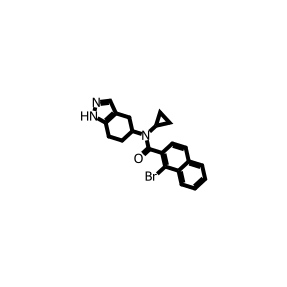 O=C(c1ccc2ccccc2c1Br)N(C1CC1)C1CCc2[nH]ncc2C1